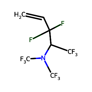 C=CC(F)(F)C(N(C(F)(F)F)C(F)(F)F)C(F)(F)F